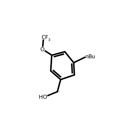 CCCCc1cc([CH]O)cc(OC(F)(F)F)c1